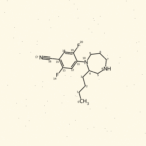 CCCCC1CNCCCN1c1cc(F)c(C#N)cc1F